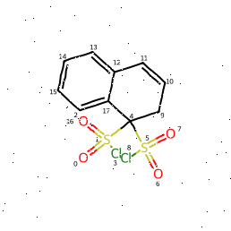 O=S(=O)(Cl)C1(S(=O)(=O)Cl)CC=Cc2ccccc21